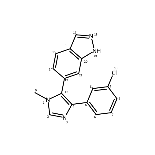 Cn1cnc(-c2cccc(Cl)c2)c1-c1ccc2cn[nH]c2c1